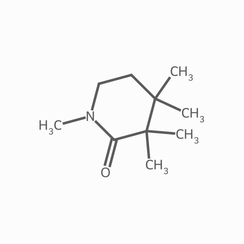 CN1CCC(C)(C)C(C)(C)C1=O